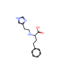 O=C(O)C(CCc1ccccc1)NCCc1c[nH]cn1